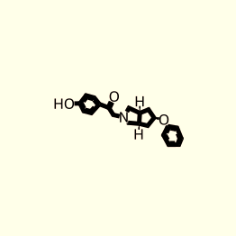 O=C(CN1C[C@H]2C[C@@H](Oc3ccccc3)C[C@H]2C1)c1ccc(O)cc1